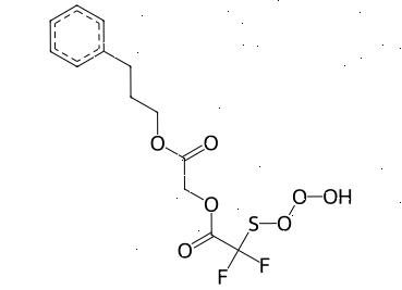 O=C(COC(=O)C(F)(F)SOOO)OCCCc1ccccc1